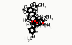 COc1ccc2[nH]c3c(c2c1)C[C@H](CO)N[C@]31CS[C@@H]2c3c(OC(C)=O)c(C)c4c(c3C(COC1=O)N1[C@@H]2[C@H]2c3c(cc(C)c(OC)c3O)C[C@@H]([C@@H]1O)N2C)OCO4